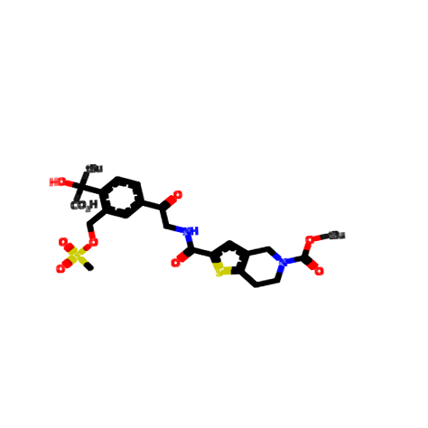 CC(C)(C)OC(=O)N1CCc2sc(C(=O)NCC(=O)c3ccc(C(O)(C(=O)O)C(C)(C)C)c(COS(C)(=O)=O)c3)cc2C1